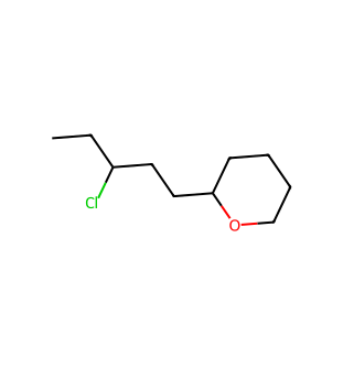 CCC(Cl)CCC1CCCCO1